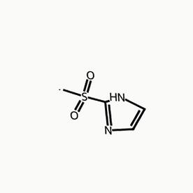 [CH2]S(=O)(=O)c1ncc[nH]1